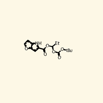 CCC(OC(=O)OC(C)(C)C)OC(=O)c1cc2occc2[nH]1